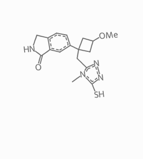 COC1CC(Cc2nnc(S)n2C)(c2ccc3c(c2)C(=O)NC3)C1